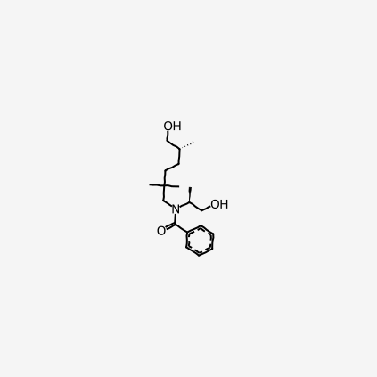 C[C@@H](CO)CCC(C)(C)CN(C(=O)c1ccccc1)[C@@H](C)CO